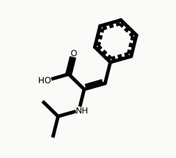 CC(C)N/C(=C/c1ccccc1)C(=O)O